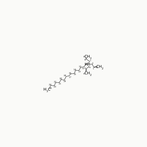 C=CC[PH](CC=C)(CC=C)CCCCCCCCCCCCCCCC